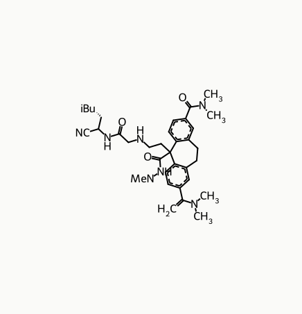 C=C(c1ccc2c(c1)CCc1cc(C(=O)N(C)C)ccc1C2(CCNCC(=O)NC(C#N)C[C@@H](C)CC)C(=O)NNC)N(C)C